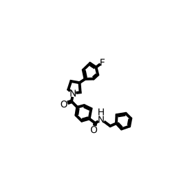 O=C(NCc1ccccc1)c1ccc(C(=O)N2CCC(c3ccc(F)cc3)C2)cc1